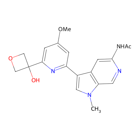 COc1cc(-c2cn(C)c3cnc(NC(C)=O)cc23)nc(C2(O)COC2)c1